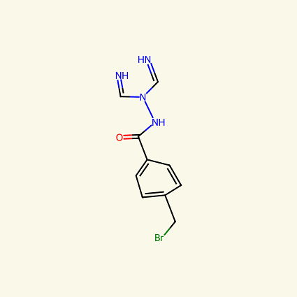 N=CN(C=N)NC(=O)c1ccc(CBr)cc1